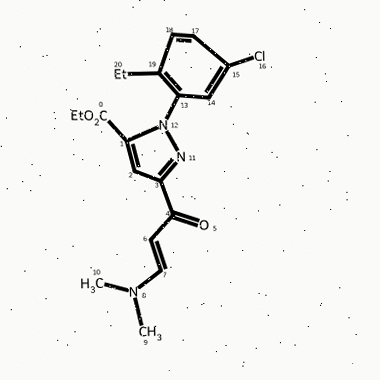 CCOC(=O)c1cc(C(=O)C=CN(C)C)nn1-c1cc(Cl)ccc1CC